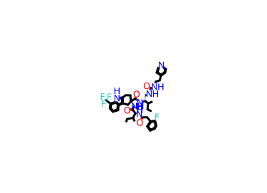 CCC(C)[C@H](NC(=O)Cc1ccccc1F)C(=O)N[C@]1(C(=O)N[C@H](CNC(=O)NCCc2ccncc2)C(C)CC)CCc2[nH]c3c(C(F)(F)F)cccc3c2C1